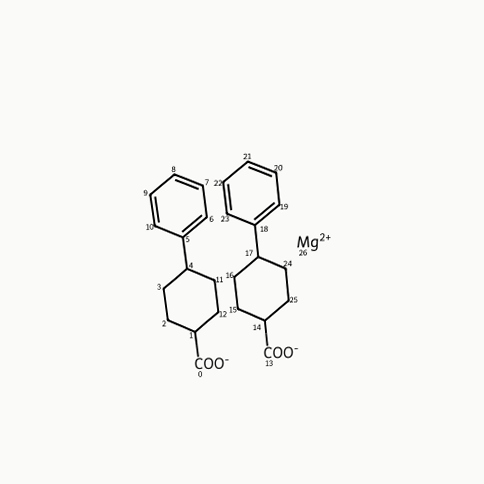 O=C([O-])C1CCC(c2ccccc2)CC1.O=C([O-])C1CCC(c2ccccc2)CC1.[Mg+2]